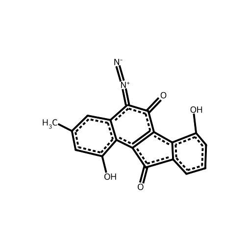 Cc1cc(O)c2c3c(=O)c4cccc(O)c4c=3c(=O)c(=[N+]=[N-])c2c1